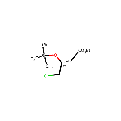 CCOC(=O)C[C@H](CCl)O[Si](C)(C)C(C)(C)C